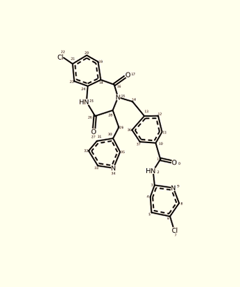 O=C(Nc1ccc(Cl)cn1)c1ccc(CN2C(=O)c3ccc(Cl)cc3NC(=O)C2Cc2cccnc2)cc1